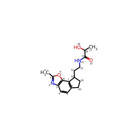 Cc1nc2ccc3c(c2o1)C(CCNC(=O)C(C)O)CC3